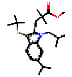 COC(=O)C(C)(C)Cc1c(SC(C)(C)C)c2ccc(C(C)C)cc2n1CC(C)C